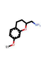 CCOc1ccc2c(c1)OC(CN)CC2